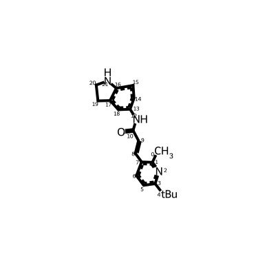 Cc1nc(C(C)(C)C)ccc1/C=C/C(=O)Nc1ccc2c(c1)CCN2